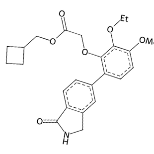 CCOc1c(OC)ccc(-c2ccc3c(c2)CNC3=O)c1OCC(=O)OCC1CCC1